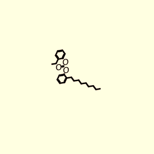 CCCCCCCCCc1ccccc1OC(=O)Oc1ccccc1CC